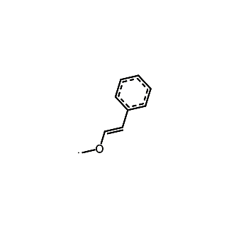 [CH2]O/C=C/c1ccccc1